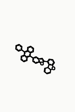 C1=CC2Oc3cccc(-c4cc5cc(-c6c7ccccc7c(-c7ccccc7)c7ccccc67)ccc5o4)c3C2C=C1